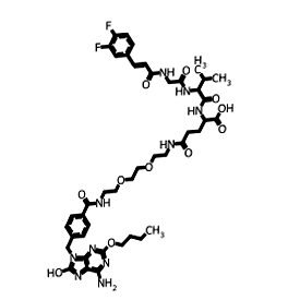 CCCCOc1nc(N)c2nc(O)n(Cc3ccc(C(=O)NCCOCCOCCNC(=O)CCC(NC(=O)C(NC(=O)CNC(=O)/C=C/c4ccc(F)c(F)c4)C(C)C)C(=O)O)cc3)c2n1